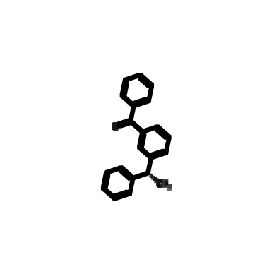 C[C@H](c1ccccc1)c1cccc(C(=O)c2ccccc2)c1